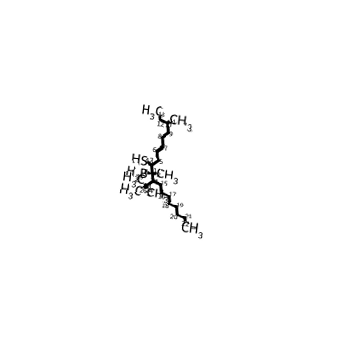 BC(C)(C(S)CCCCCC(C)CC)C(CCCCCCCC)C(C)(C)C